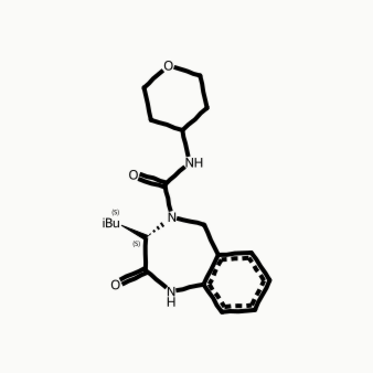 CC[C@H](C)[C@H]1C(=O)Nc2ccccc2CN1C(=O)NC1CCOCC1